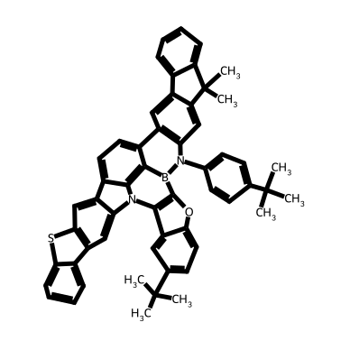 CC(C)(C)c1ccc(N2B3c4oc5ccc(C(C)(C)C)cc5c4-n4c5cc6c(cc5c5ccc(c3c54)-c3cc4c(cc32)C(C)(C)c2ccccc2-4)sc2ccccc26)cc1